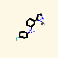 CC(C)n1nccc1-c1cccc(Nc2ccc(F)cc2)c1